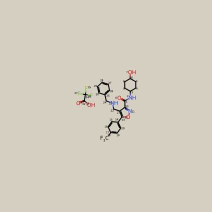 O=C(NC1CCC(O)CC1)c1noc(-c2ccc(C(F)(F)F)cc2)c1CNCc1ccccc1.O=C(O)C(F)(F)F